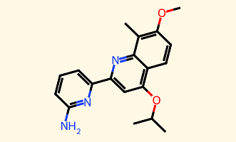 COc1ccc2c(OC(C)C)cc(-c3cccc(N)n3)nc2c1C